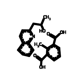 CC(O)Cc1ccc2ccccc2n1.Cc1c(C(=O)O)cccc1C(=O)O